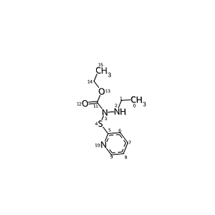 CCNN(Sc1ccccn1)C(=O)OCC